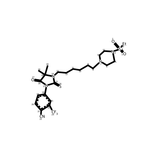 CCS(=O)(=O)N1CCN(CCCCCCN2C(=S)N(c3ccc(C#N)c(C(F)(F)F)c3)C(=O)C2(C)C)CC1